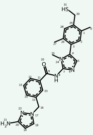 Cc1cc(-c2cnc(NC(=O)c3cccc(Cn4ccc(N)n4)c3)n2C)c(C)cc1CS